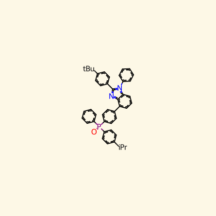 CC(C)c1ccc(P(=O)(c2ccccc2)c2ccc(-c3cccc4c3nc(-c3ccc(C(C)(C)C)cc3)n4-c3ccccc3)cc2)cc1